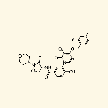 Cc1ccc(C(=O)N[C@@H]2CON(C3CCOCC3)C2=O)cc1-n1cnc(OCc2ccc(F)cc2F)c(Cl)c1=O